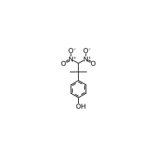 CC(C)(c1ccc(O)cc1)C([N+](=O)[O-])[N+](=O)[O-]